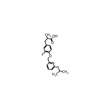 CC(C)Sc1cccc(COc2ccc(CC(C)C(=O)O)cc2F)n1